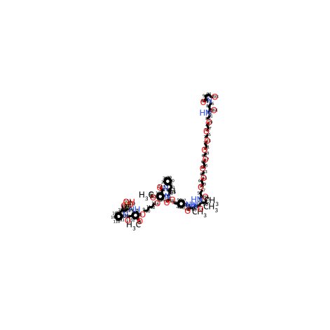 COc1cc2c(cc1OCCCCCOc1cc3c(cc1OC)C(=O)N1c4ccccc4C[C@H]1CN3C(=O)OCc1ccc(NC(=O)C(C)NC(=O)C(NC(=O)CCOCCOCCOCCOCCOCCOCCOCCOCCNC(=O)CCN3C(=O)C=CC3=O)C(C)C)cc1)NC(S(=O)(=O)O)[C@@H]1Cc3ccccc3N1C2=O